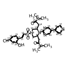 CN(C)C(=O)CC1CN(S(=O)(=O)C=Cc2ccc(Cl)cc2O)CC(CC(=O)N(C)C)N1c1ncc(-c2ccncc2)cn1